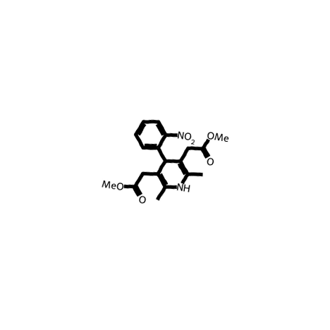 COC(=O)CC1=C(C)NC(C)=C(CC(=O)OC)C1c1ccccc1[N+](=O)[O-]